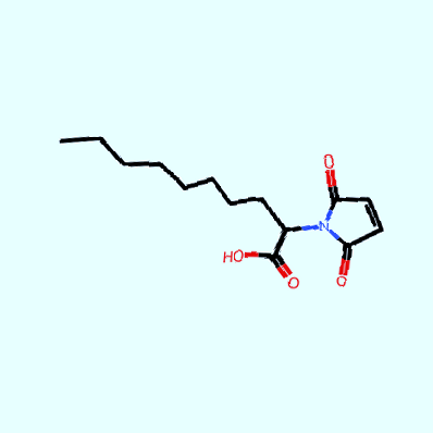 CCCCCCCCC(C(=O)O)N1C(=O)C=CC1=O